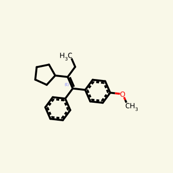 CC/C(=C(/c1ccccc1)c1ccc(OC)cc1)C1CCCC1